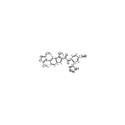 Cc1noc(C)c1-c1ccc2cc(C(=O)Nc3ccc(C#N)cc3-c3nnn[nH]3)n(C)c2c1